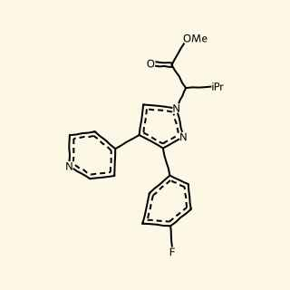 COC(=O)C(C(C)C)n1cc(-c2ccncc2)c(-c2ccc(F)cc2)n1